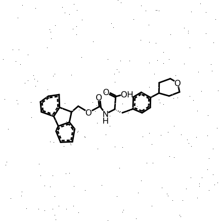 O=C(N[C@@H](Cc1ccc(C2CCOCC2)cc1)C(=O)O)OCC1c2ccccc2-c2ccccc21